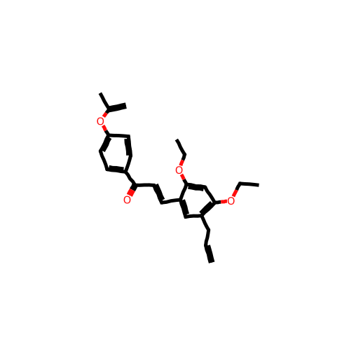 C=CCc1cc(C=CC(=O)c2ccc(OC(=C)C)cc2)c(OCC)cc1OCC